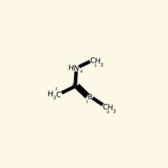 CB=C(C)NC